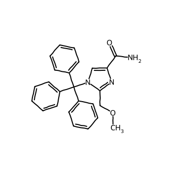 COCc1nc(C(N)=O)cn1C(c1ccccc1)(c1ccccc1)c1ccccc1